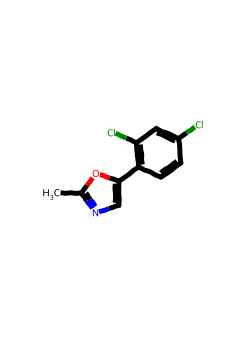 Cc1ncc(-c2ccc(Cl)cc2Cl)o1